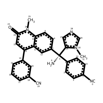 [C-]#[N+]c1ccc([C@@](N)(c2ccc3c(c2)c(-c2cccc(C#N)c2)cc(=O)n3C)c2cncn2C)cc1